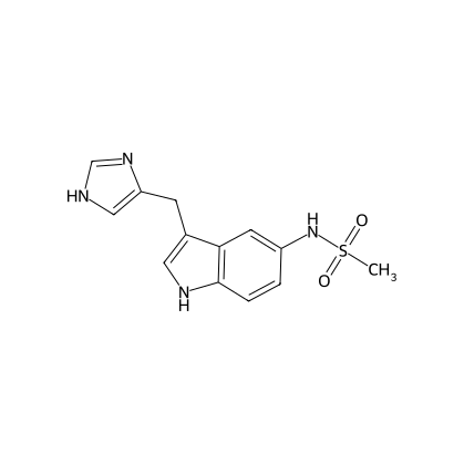 CS(=O)(=O)Nc1ccc2[nH]cc(Cc3c[nH]cn3)c2c1